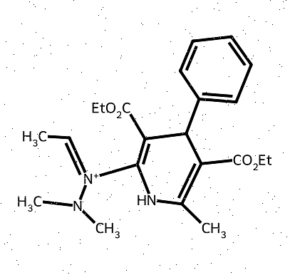 CC=[N+](C1=C(C(=O)OCC)C(c2ccccc2)C(C(=O)OCC)=C(C)N1)N(C)C